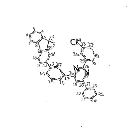 CC1(C)c2ccccc2-c2ccc(-c3cccc(-c4cc(-c5ccccc5)nc(-c5cccc(Cl)c5)n4)c3)cc21